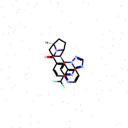 O=C(c1ccc2ncccc2c1)N1C2CC[C@@H]1CC[C@@H]2c1cc(C(F)F)nc2ncnn12